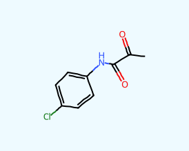 CC(=O)C(=O)Nc1ccc(Cl)cc1